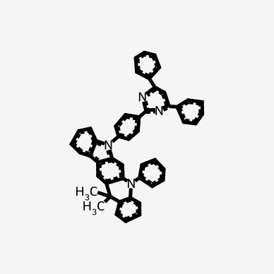 CC1(C)c2ccccc2N(c2ccccc2)c2cc3c(cc21)c1ccccc1n3-c1ccc(-c2nc(-c3ccccc3)cc(-c3ccccc3)n2)cc1